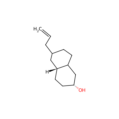 C=CCC1CCC2C[C@H](O)CC[C@@H]2C1